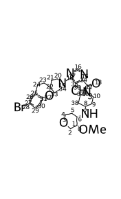 CO[C@@H]1COCC[C@@H]1NC1CCN(C(=O)c2ncnc(N3CCC4(CCc5cc(Br)ccc5O4)CC3)c2C)CC1